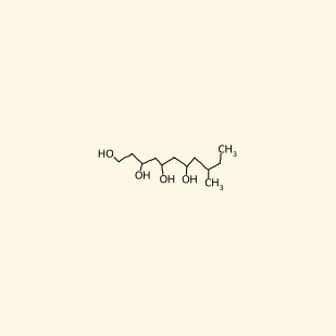 CCC(C)CC(O)CC(O)CC(O)CCO